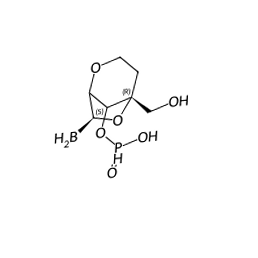 B[C@@H]1O[C@@]2(CO)CCOC1C2O[PH](=O)O